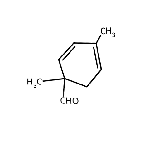 CC1=CCC(C)(C=O)C=C1